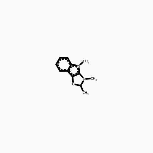 CC1Oc2c(n(C)c3ccccc23)N1C